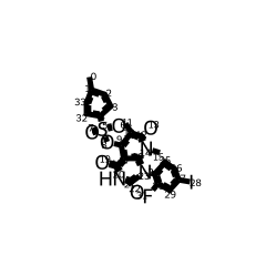 Cc1ccc(S(=O)(=O)Oc2c(C)c(=O)n(C)c3c2c(=O)[nH]c(=O)n3-c2ccc(I)cc2F)cc1